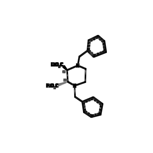 CCOC(=O)[C@@H]1[C@@H](C(=O)OCC)N(Cc2ccccc2)CCN1Cc1ccccc1